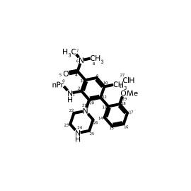 CCCNc1c(C(=O)N(C)C)cc(C)c(-c2ccccc2OC)c1N1CCNCC1.Cl